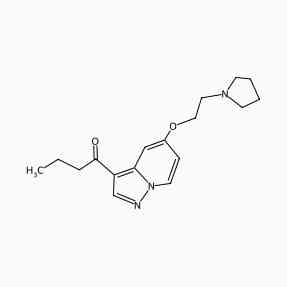 CCCC(=O)c1cnn2ccc(OCCN3CCCC3)cc12